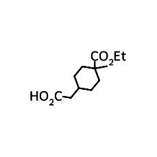 CCOC(=O)C1(C)CCC(CC(=O)O)CC1